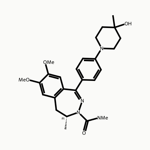 CNC(=O)N1N=C(c2ccc(N3CCC(C)(O)CC3)cc2)c2cc(OC)c(OC)cc2C[C@H]1C